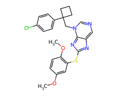 COc1ccc(OC)c(Sc2nc3cncn(CC4(c5ccc(Cl)cc5)CCC4)c-3n2)c1